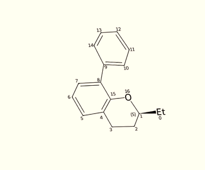 CC[C@H]1CCc2cccc(-c3ccccc3)c2O1